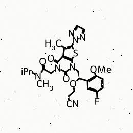 COc1ccc(F)cc1[C@H](Cn1c(=O)n(CC(=O)N(C)C(C)C)c(=O)c2c(C)c(-n3nccn3)sc21)OCCC#N